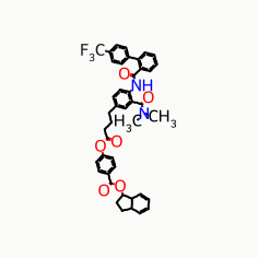 CN(C)C(=O)c1cc(CCCC(=O)Oc2ccc(C(=O)OC3CCC4C=CC=CC43)cc2)ccc1NC(=O)c1ccccc1-c1ccc(C(F)(F)F)cc1